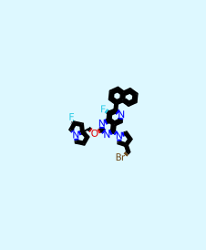 Fc1c(-c2cccc3ccccc23)ncc2c(N3CCC(CBr)C3)nc(OC[C@@]34CCCN3C[C@H](F)C4)nc12